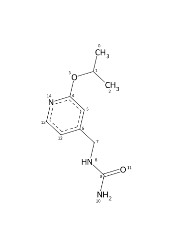 CC(C)Oc1cc(CNC(N)=O)ccn1